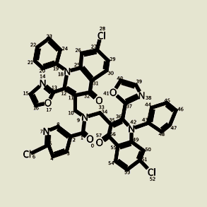 O=C(c1ccc(Cl)nc1)N(Cc1c(-c2ncco2)n(-c2ccccc2)c2cc(Cl)ccc2c1=O)Cc1c(-c2ncco2)n(-c2ccccc2)c2cc(Cl)ccc2c1=O